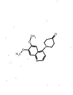 COc1cc2nccc(N3CCC(=O)CC3)c2cc1OC